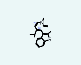 C=CN(C)/C=C\C(=C\c1c(C)sc2ccccc12)C(C)C